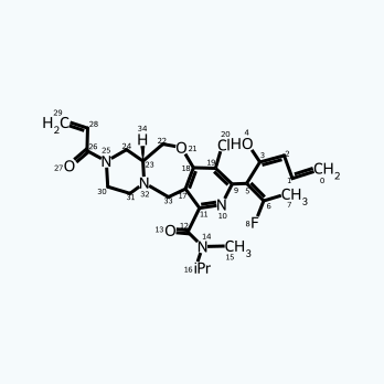 C=C/C=C(O)\C(=C(/C)F)c1nc(C(=O)N(C)C(C)C)c2c(c1Cl)OC[C@H]1CN(C(=O)C=C)CCN1C2